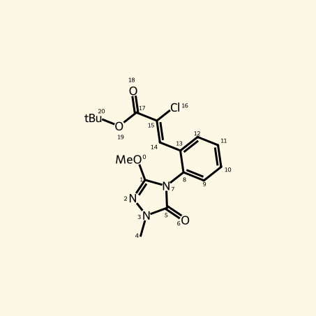 COc1nn(C)c(=O)n1-c1ccccc1C=C(Cl)C(=O)OC(C)(C)C